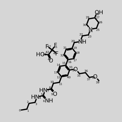 CCCCNC(=N)NC(=O)CCc1ccc(-c2ccc(CNCCN3CCC(O)CC3)cc2)c(OCCCOC)c1.O=C(O)C(F)(F)F